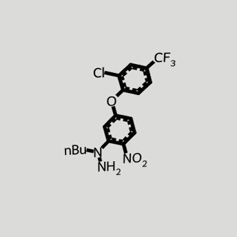 CCCCN(N)c1cc(Oc2ccc(C(F)(F)F)cc2Cl)ccc1[N+](=O)[O-]